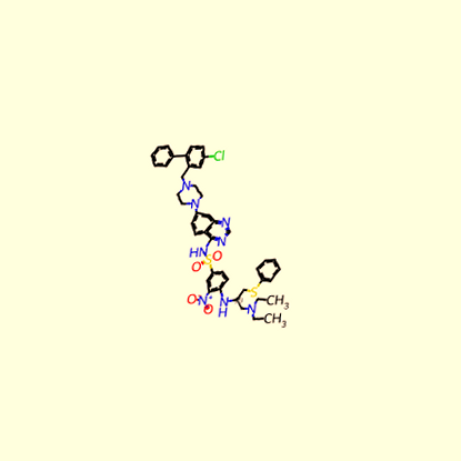 CCN(CC)C[C@H](CSc1ccccc1)Nc1ccc(S(=O)(=O)Nc2ncnc3cc(N4CCN(Cc5cc(Cl)ccc5-c5ccccc5)CC4)ccc23)cc1[N+](=O)[O-]